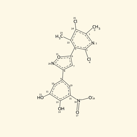 Cc1nc(Cl)c(-c2cc(-c3cc(O)c(O)c([N+](=O)[O-])c3)no2)c(C)c1Cl